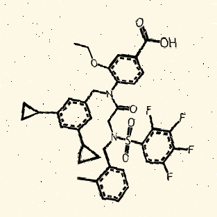 CCOc1cc(C(=O)O)ccc1N(Cc1cc(C2CC2)cc(C2CC2)c1)C(=O)CN(Cc1ccccc1C)S(=O)(=O)c1cc(F)c(F)c(F)c1F